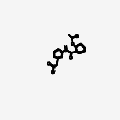 CC(=O)Oc1ccccc1C(=O)Nc1cccc(C[N+](=O)[O-])c1